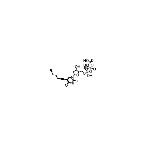 C#CCCCC#Cc1cn(C2CC(O)[C@@H](COP(=O)(O)OP(=O)(O)OP(=O)(O)O)O2)c(=O)[nH]c1=O